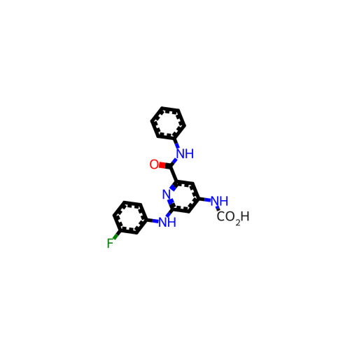 O=C(O)Nc1cc(Nc2cccc(F)c2)nc(C(=O)Nc2ccccc2)c1